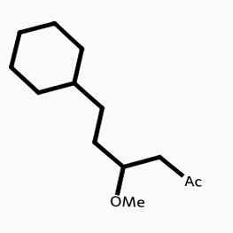 COC(CCC1CCCCC1)CC(C)=O